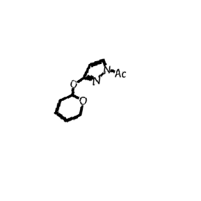 CC(=O)n1ccc(OC2CCCCO2)n1